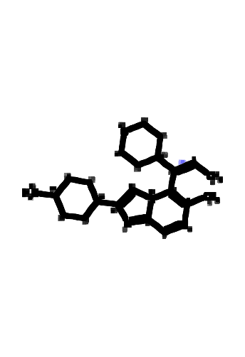 C/C=C(\c1c(C)ncc2nc(C3CCC(N)CC3)cn12)C1CCOCC1